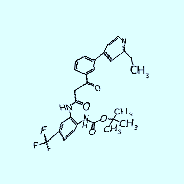 CCc1cc(-c2cccc(C(=O)CC(=O)Nc3cc(C(F)(F)F)ccc3NC(=O)OC(C)(C)C)c2)ccn1